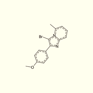 COc1ccc(-c2nc3cccc(C)n3c2Br)cc1